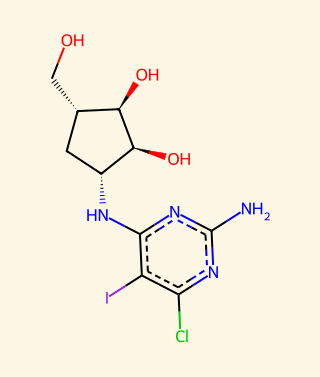 Nc1nc(Cl)c(I)c(N[C@@H]2C[C@H](CO)[C@@H](O)[C@H]2O)n1